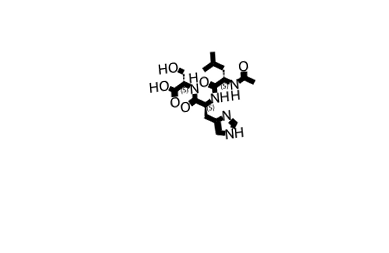 CC(=O)N[C@@H](CC(C)C)C(=O)N[C@@H](Cc1c[nH]cn1)C(=O)N[C@@H](CO)C(=O)O